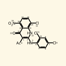 CC(=O)c1c(Nc2ccc(Cl)cc2Cl)[nH]c2c(Cl)ccc([N+](=O)[O-])c2c1=O